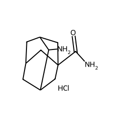 Cl.NC(=O)C12CC3CC(C1)C(N)C(C3)C2